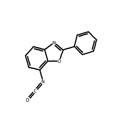 O=C=Nc1cccc2nc(-c3ccccc3)oc12